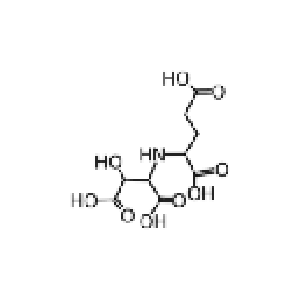 O=C(O)CCC(NC(C(=O)O)C(O)C(=O)O)C(=O)O